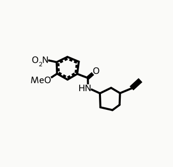 C#CC1CCCC(NC(=O)c2ccc([N+](=O)[O-])c(OC)c2)C1